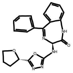 O=C1Nc2ccccc2C(c2ccccc2)=N[C@@H]1Nc1nnc([C@@H]2CCCO2)o1